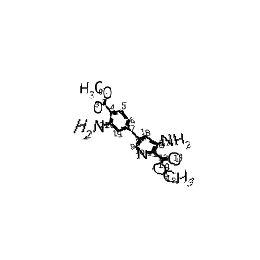 COC(=O)c1ccc(-c2cnc(C(=O)OC)c(N)c2)cc1N